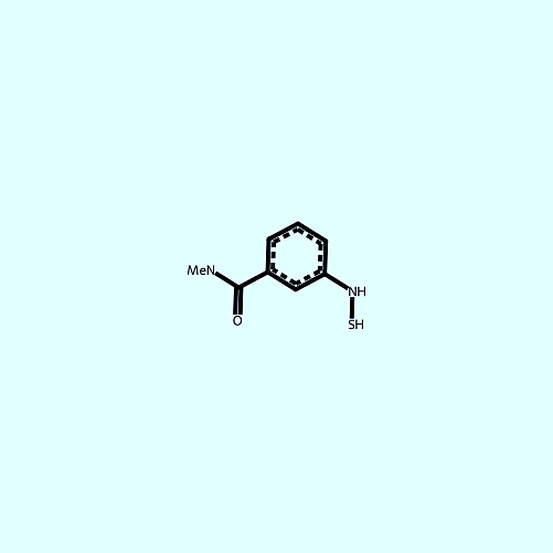 CNC(=O)c1cccc(NS)c1